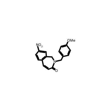 COc1ccc(CN2Cc3cc([N+](=O)[O-])ccc3C=CC2=O)cc1